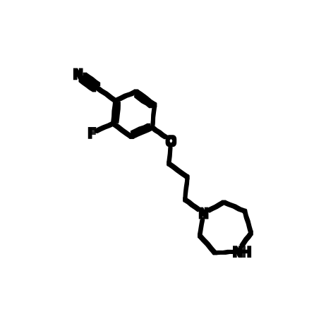 N#Cc1ccc(OCCCN2CCCNCC2)cc1F